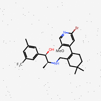 COc1cnc(Br)cc1C1=C(CN[C@@H](C)[C@H](O)c2cc(C)cc(C(F)(F)F)c2)CC(C)(C)CC1